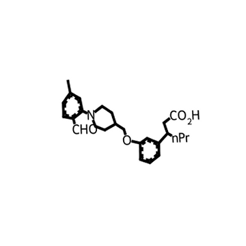 CCCC(CC(=O)O)c1cccc(OCC2CCN(c3cc(C)ccc3C=O)CC2)c1